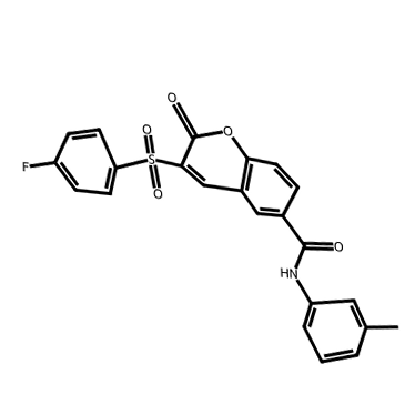 Cc1cccc(NC(=O)c2ccc3oc(=O)c(S(=O)(=O)c4ccc(F)cc4)cc3c2)c1